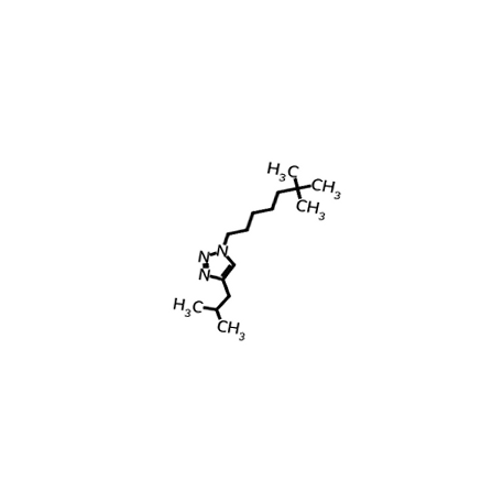 CC(C)Cc1cn(CCCCCC(C)(C)C)nn1